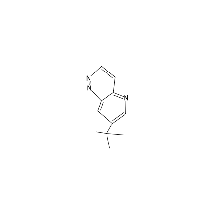 CC(C)(C)c1cnc2ccnnc2c1